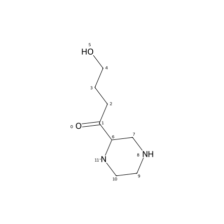 O=C(CCCO)C1CNCC[N]1